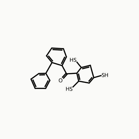 O=C(c1ccccc1-c1ccccc1)c1c(S)cc(S)cc1S